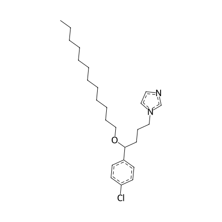 CCCCCCCCCCCCOC(CCCn1ccnc1)c1ccc(Cl)cc1